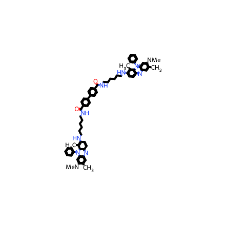 CNc1cc2c(cc1C)N=C1C=CC(NCCCCCCNC(=O)c3ccc(-c4ccc(C(=O)NCCCCCCNc5ccc6nc7cc(C)c(NC)cc7[n+](-c7ccccc7)c6c5C)cc4)cc3)=C(C)C1N2c1ccccc1